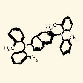 Cc1ccccc1N(c1ccc2cc(N(c3ccccc3C)c3ccccc3C)ccc2c1)c1ccccc1C